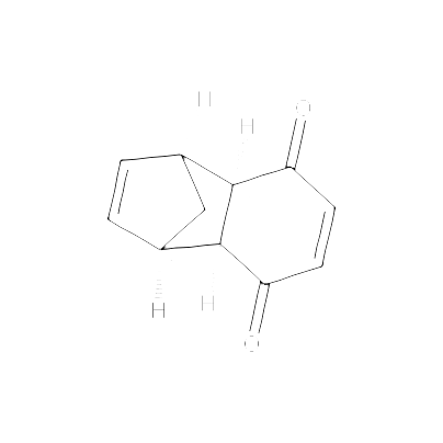 O=C1C=CC(=O)[C@H]2[C@@H]1[C@H]1C=C[C@@H]2C1